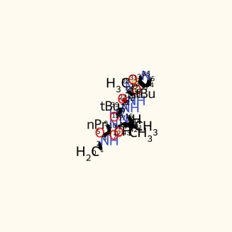 C=CCNC(=O)C(=O)C(CCC)NC(=O)[C@@H]1[C@@H]2[C@H](CN1C(=O)[C@@H](NC(=O)N[C@H](CN(C)S(=O)(=O)c1cccnc1)C(C)(C)C)C(C)(C)C)C2(C)C